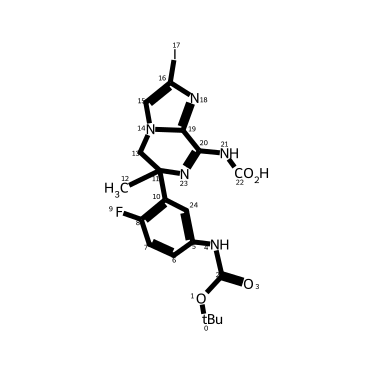 CC(C)(C)OC(=O)Nc1ccc(F)c(C2(C)Cn3cc(I)nc3C(NC(=O)O)=N2)c1